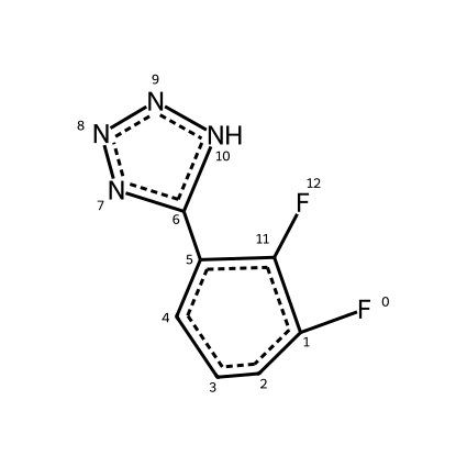 Fc1cccc(-c2nnn[nH]2)c1F